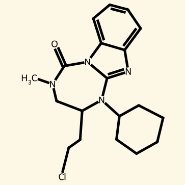 CN1CC(CCCl)N(C2CCCCC2)c2nc3ccccc3n2C1=O